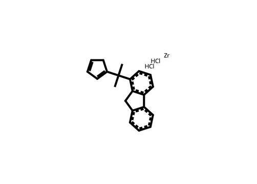 CC(C)(C1=CC=CC1)c1cccc2c1Cc1ccccc1-2.Cl.Cl.[Zr]